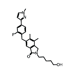 Cc1c(Cc2ccc(-c3ccn(C)n3)cc2F)cc2c(c1C)CN(CCCCCO)C2=O